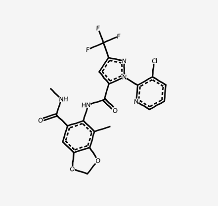 CNC(=O)c1cc2c(c(C)c1NC(=O)c1cc(C(F)(F)F)nn1-c1ncccc1Cl)OCO2